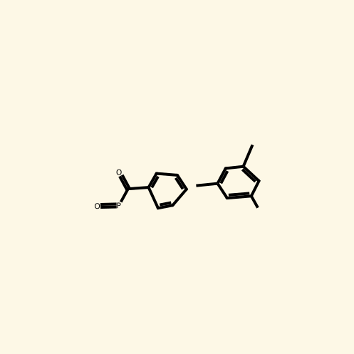 Cc1cc(C)cc(C)c1.O=PC(=O)c1ccccc1